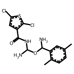 Cc1ccc(C)c(C(N)OC(N)NC(=O)c2cc(Cl)sc2Cl)c1